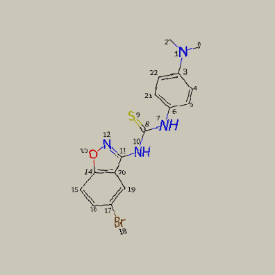 CN(C)c1ccc(NC(=S)Nc2noc3ccc(Br)cc23)cc1